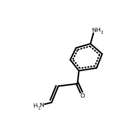 NC=CC(=O)c1ccc(N)cc1